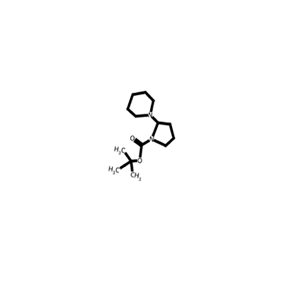 CC(C)(C)OC(=O)N1CCCC1N1[CH]CCCC1